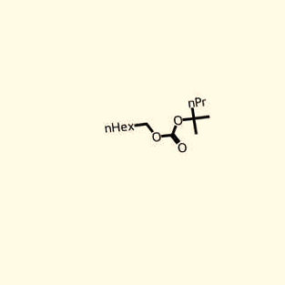 CCCCCCCOC(=O)OC(C)(C)CCC